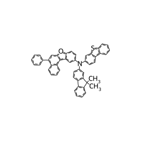 CC1(C)c2ccccc2-c2ccc(N(c3ccc4c(c3)sc3ccccc34)c3ccc4oc5cc(-c6ccccc6)c6ccccc6c5c4c3)cc21